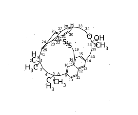 CC1(C)CCC(C)(C)Cc2ccc3cc4cc(c3c2)CSSCc2cc(cc3cc(ccc23)CCOC(C)(O)CC4)C1